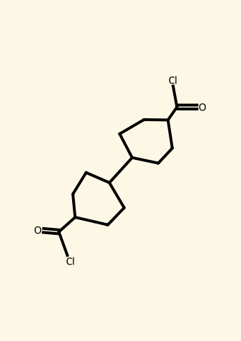 O=C(Cl)C1CCC(C2CCC(C(=O)Cl)CC2)CC1